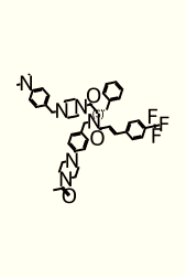 CC(=O)N1CCN(c2ccc(CN(C(=O)C=Cc3ccc(C(F)(F)F)cc3)[C@@H](Cc3ccccc3)C(=O)N3CCN(Cc4ccc(N(C)C)cc4)CC3)cc2)CC1